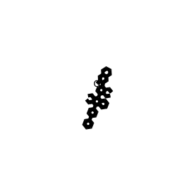 C=Cc1c(-c2c(=C/C)/c(=C\C)c(-c3ccc(-c4ccccc4)cc3)c3ccccc23)cc2oc3cc4c(cc3c2c1C=C)CCC=C4